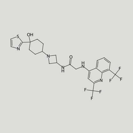 O=C(CNc1cc(C(F)(F)F)nc2c(C(F)(F)F)cccc12)NC1CN(C2CCC(O)(c3nccs3)CC2)C1